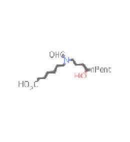 CCCCCC(O)CCCN(C=O)CCCCCCC(=O)O